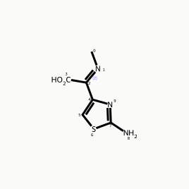 C/N=C(\C(=O)O)c1csc(N)n1